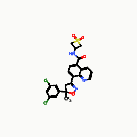 O=C(NC1CS(=O)(=O)C1)c1ccc(C2=NOC(c3cc(Cl)cc(Cl)c3)(C(F)(F)F)C2)c2ncccc12